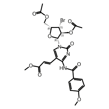 COC(=O)C=Cc1cn([C@@H]2O[C@H](COC(C)=O)[C@H](Br)[C@H]2OC(C)=O)c(=O)nc1NC(=O)c1ccc(OC)cc1